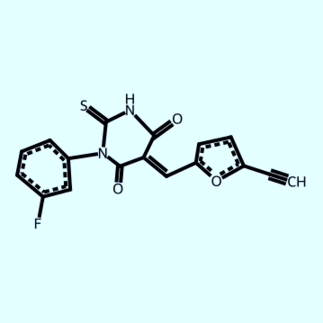 C#Cc1ccc(/C=C2\C(=O)NC(=S)N(c3cccc(F)c3)C2=O)o1